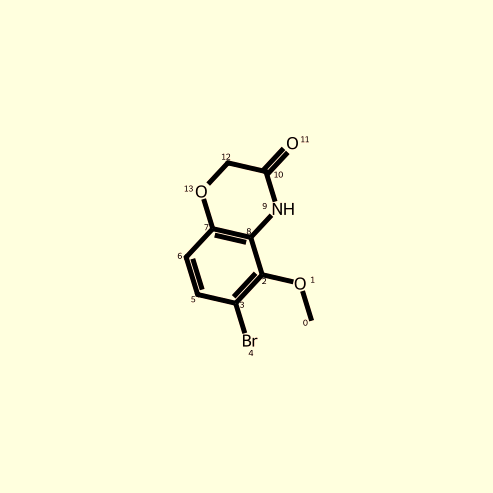 COc1c(Br)ccc2c1NC(=O)CO2